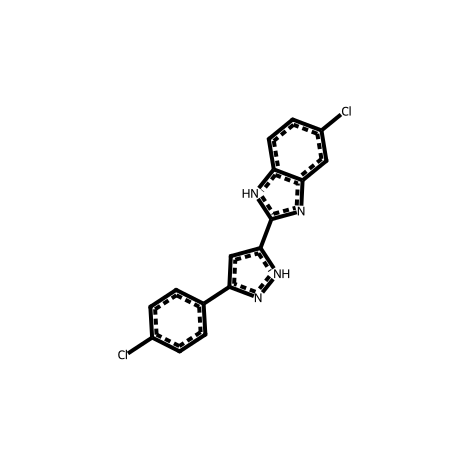 Clc1ccc(-c2cc(-c3nc4cc(Cl)ccc4[nH]3)[nH]n2)cc1